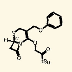 CC(C)(C)C(=O)COC1=C(COc2ccccc2)CS[C@H]2CC(=O)N12